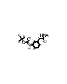 CNC(=O)Cc1cccc(NC(=O)OC(C)(C)C)c1